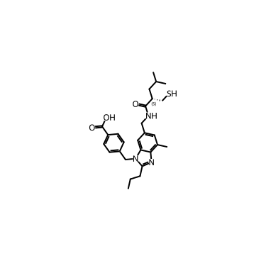 CCCc1nc2c(C)cc(CNC(=O)[C@@H](CS)CC(C)C)cc2n1Cc1ccc(C(=O)O)cc1